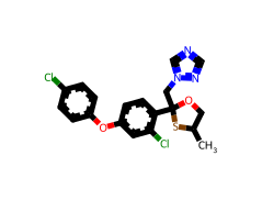 CC1COC(Cn2cncn2)(c2ccc(Oc3ccc(Cl)cc3)cc2Cl)S1